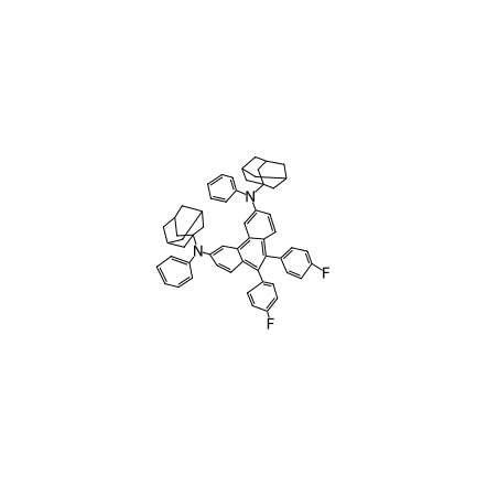 Fc1ccc(-c2c(-c3ccc(F)cc3)c3ccc(N(c4ccccc4)C45CC6CC(CC(C6)C4)C5)cc3c3cc(N(c4ccccc4)C45CC6CC(CC(C6)C4)C5)ccc23)cc1